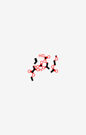 C=CC.CC(COC(=O)O)OC(=O)O.CCOC(=O)C(C)O.COCCOC(C)=O